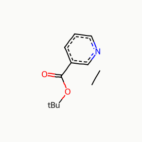 CC.CC(C)(C)OC(=O)c1cccnc1